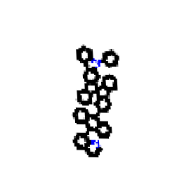 c1ccc(-n2c3ccccc3c3cc4c(cc32)C2(c3ccccc3-c3ccc(-c5c6ccccc6c(-c6cccc7cccnc67)c6ccccc56)cc32)c2ccccc2-4)cc1